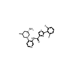 CC1C[C@H](N)CN(c2ccncc2NC(=O)c2csc(-c3c(F)cccc3F)n2)C1